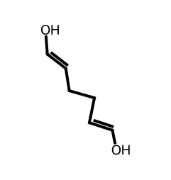 OC=CCCC=CO